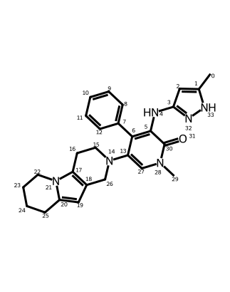 Cc1cc(Nc2c(-c3ccccc3)c(N3CCc4c(cc5n4CCCC5)C3)cn(C)c2=O)n[nH]1